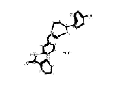 Cc1ccc(C2CCN(Cc3ccc4c5c(c(=O)[nH]c4c3)CCCC5)CC2)cc1.Cl